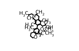 C=C1Cc2c(C)c([C@H](OC(C)(C)C)C(=O)O)c(-c3cc(F)c4c(c3C)CCCO4)c(C)c2CN1CC(C)C